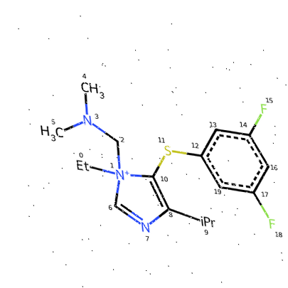 CC[N+]1(CN(C)C)C=NC(C(C)C)=C1Sc1cc(F)cc(F)c1